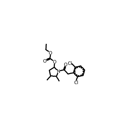 CCOC(=O)OC1CC(C)C(C)N1C(=O)Cc1c(Cl)cccc1Cl